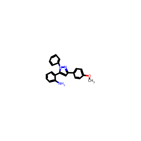 COc1ccc(-c2cc(-c3ccccc3N)n(-c3ccccc3)n2)cc1